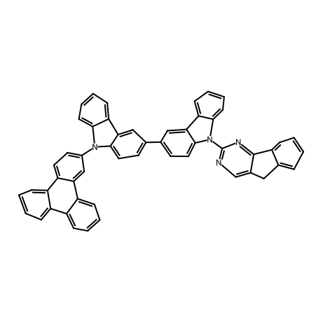 c1ccc2c(c1)Cc1cnc(-n3c4ccccc4c4cc(-c5ccc6c(c5)c5ccccc5n6-c5ccc6c7ccccc7c7ccccc7c6c5)ccc43)nc1-2